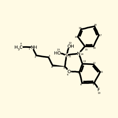 CNCCC[C@@H]1Oc2cc(F)ccc2N(c2ccccc2)S1(O)O